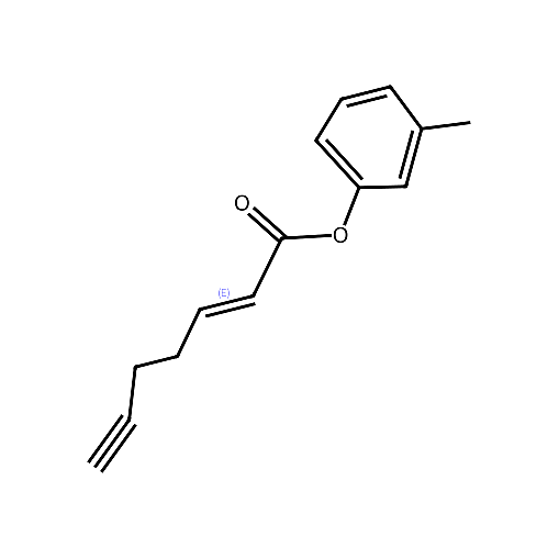 C#CCC/C=C/C(=O)Oc1cccc(C)c1